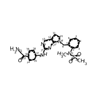 CN(c1ccccc1Cn1ccc2cnc(Nc3ccc(C(N)=O)cc3)nc21)S(C)(=O)=O